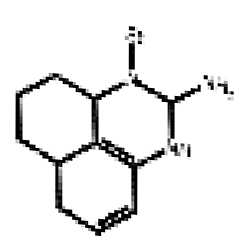 CCN1C(N)NC2=C3C(CC=C2)CCCC31